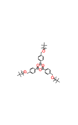 CC(C)(C)[Si](C)(C)OCc1ccc(B2OB(c3ccc(CO[Si](C)(C)C(C)(C)C)cc3)OB(c3ccc(CO[Si](C)(C)C(C)(C)C)cc3)O2)cc1